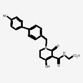 N#Cc1ccc(-c2ccc(CN3CCC(O)=C(C(=O)NCC(=O)O)C3=O)cc2)cc1